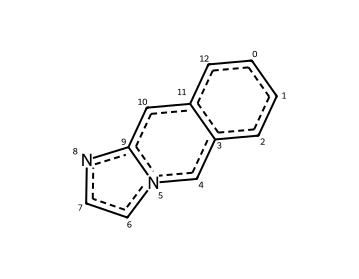 c1ccc2cn3ccnc3cc2c1